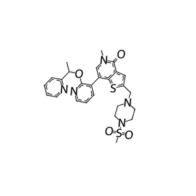 CC(Oc1ncccc1-c1cn(C)c(=O)c2cc(CN3CCN(S(C)(=O)=O)CC3)sc12)c1ccccn1